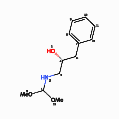 COC(NC[C@H](O)Cc1ccccc1)OC